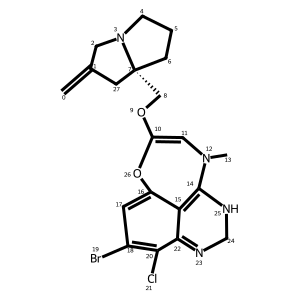 C=C1CN2CCC[C@@]2(COC2=CN(C)C3=c4c(cc(Br)c(Cl)c4=NCN3)O2)C1